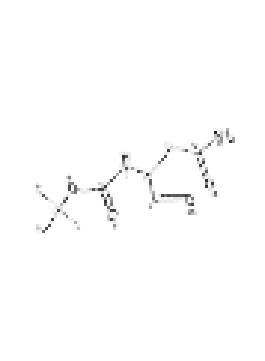 CC(C)(C)OC(=O)NC(C=O)CC(N)=O